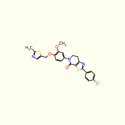 COc1cc(N2CCc3nc(-c4ccc(Cl)cc4)sc3C2=O)ccc1OCc1cnc(C)s1